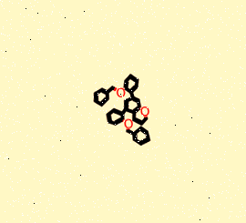 C1=Cc2c(cc(-c3ccccc3OCc3ccccc3)cc2-c2ccccc2OCc2ccccc2)OC1